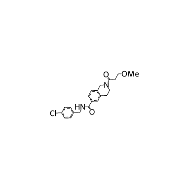 COCCC(=O)N1CCc2cc(C(=O)NCc3ccc(Cl)cc3)ccc2C1